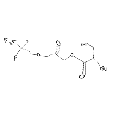 CC(C)CC(C(=O)OCC(=O)COCC(F)(F)C(F)(F)F)C(C)(C)C